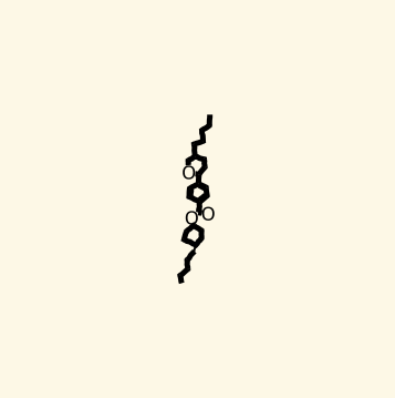 CCCCCC1CCC(c2ccc(C(=O)O[C@H]3CC[C@H](CCCCC)CC3)cc2)OC1